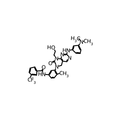 Cc1ccc(NC(=O)c2cccc(C(F)(F)F)c2)cc1N1Cc2cnc(Nc3cccc(N(C)C)c3)nc2N(CCO)C1=O